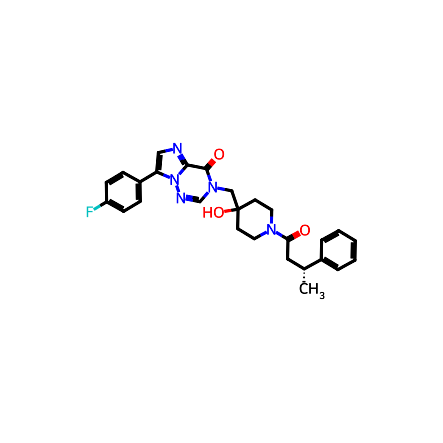 C[C@H](CC(=O)N1CCC(O)(Cn2cnn3c(-c4ccc(F)cc4)cnc3c2=O)CC1)c1ccccc1